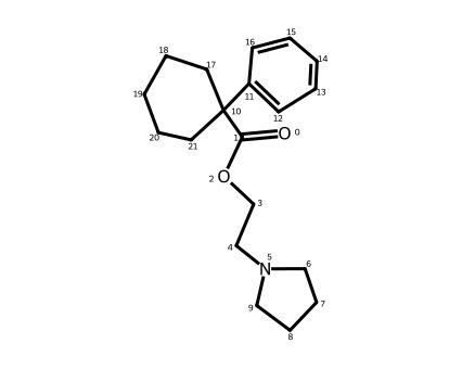 O=C(OCCN1CCCC1)C1(c2ccccc2)CCCCC1